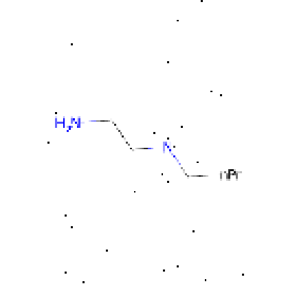 [CH2]CCC[N]CCN